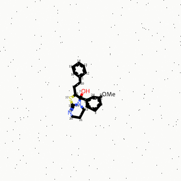 COc1cccc(C2(O)C(CCc3ccccc3)SC3=NCCCN32)c1